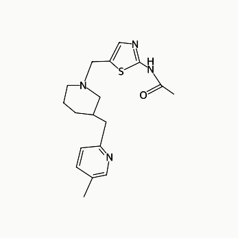 CC(=O)Nc1ncc(CN2CCCC(Cc3ccc(C)cn3)C2)s1